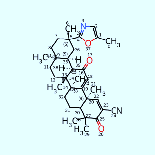 Cc1cnc([C@@]2(C)CC[C@]3(C)CC[C@]4(C)[C@H](C(=O)C=C5[C@@]6(C)C=C(C#N)C(=O)C(C)(C)C6CC[C@]54C)[C@@H]3C2)o1